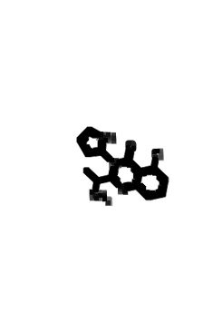 CC(N)c1nc2cccc(Cl)c2c(=O)n1-c1ccc[nH]1